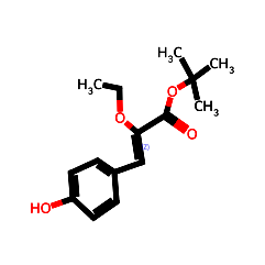 CCO/C(=C\c1ccc(O)cc1)C(=O)OC(C)(C)C